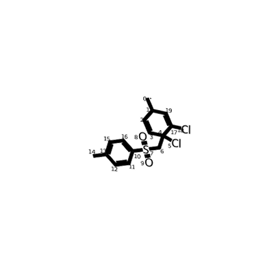 [CH2]C1C=CC(Cl)(CS(=O)(=O)c2ccc(C)cc2)C(Cl)=C1